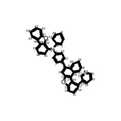 c1ccc(N(c2ccc(-c3cc4oc5cccc(-c6cccnc6)c5c4c4ccccc34)cc2)c2cccc3c2oc2ccccc23)cc1